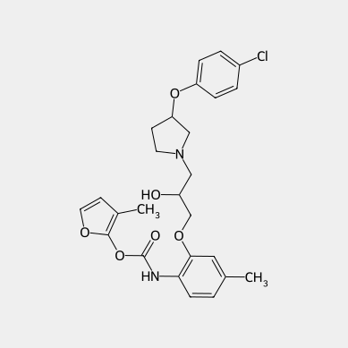 Cc1ccc(NC(=O)Oc2occc2C)c(OCC(O)CN2CCC(Oc3ccc(Cl)cc3)C2)c1